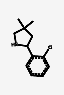 CC1(C)CNC(c2ccccc2Cl)C1